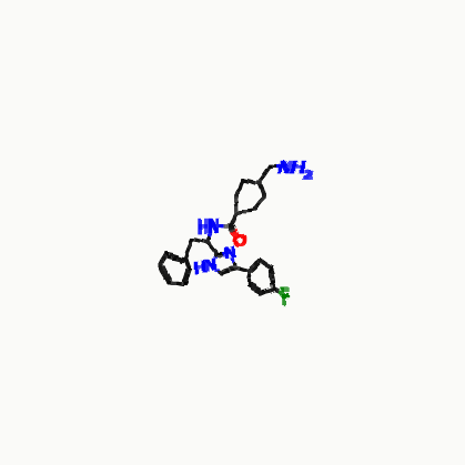 NCC1CCC(C(=O)NC(Cc2ccccc2)c2nc(-c3ccc(F)cc3)c[nH]2)CC1